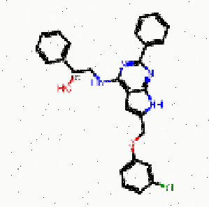 O[C@H](CNc1nc(-c2ccccc2)nc2[nH]c(COc3cccc(Cl)c3)cc12)c1ccccc1